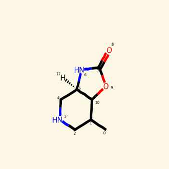 CC1CNC[C@H]2NC(=O)OC12